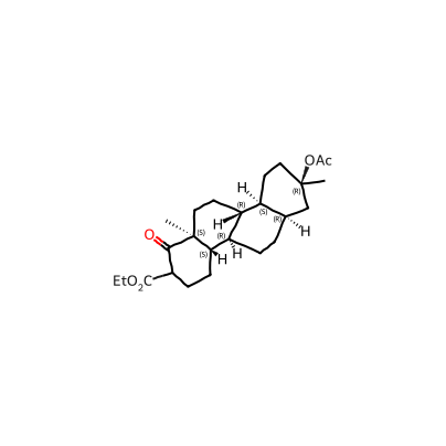 CCOC(=O)C1CC[C@H]2[C@@H]3CC[C@@H]4C[C@](C)(OC(C)=O)CC[C@@H]4[C@H]3CC[C@]2(C)C1=O